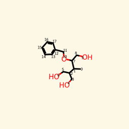 CC(C(CO)CO)C(CO)OCc1ccccc1